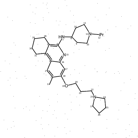 Cc1cc2c3c(c(NC4CCN(C(C)C)CC4)nc2cc1OCCCN1CCCC1)CCCC3